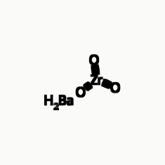 [BaH2].[O]=[Zr](=[O])=[O]